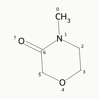 CN1CCO[CH]C1=O